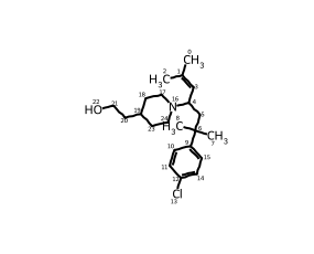 CC(C)=CC(CC(C)(C)c1ccc(Cl)cc1)N1CCC(CCO)CC1